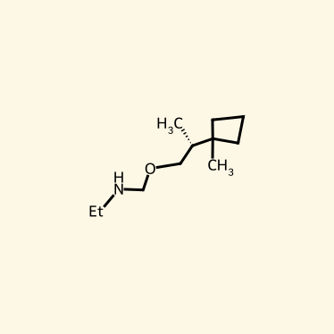 CCNCOC[C@H](C)C1(C)CCC1